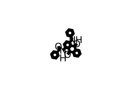 O=C(Nc1ccc(Nc2ccccc2)c2c1C(=O)c1ccccc1C2=O)c1ccccc1